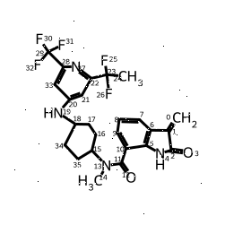 C=C1C(=O)Nc2c1cccc2C(=O)N(C)C1CCC(Nc2cc(C(C)(F)F)nc(C(F)(F)F)c2)CC1